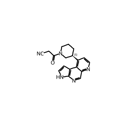 N#CCC(=O)N1CCC[C@@H](c2ccnc3cnc4[nH]ccc4c23)C1